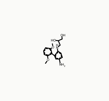 COc1cccc(OC)c1-c1cc(N)ccc1NCC(O)CO